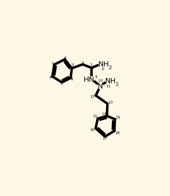 NC(Cc1ccccc1)NN(N)CCc1ccccc1